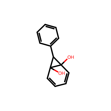 OC12C=CC=CC1(O)C2c1ccccc1